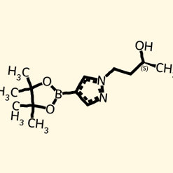 C[C@H](O)CCn1cc(B2OC(C)(C)C(C)(C)O2)cn1